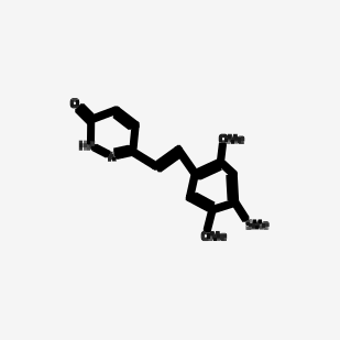 COc1cc(SC)c(OC)cc1/C=C/c1ccc(=O)[nH]n1